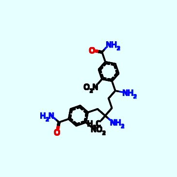 CC(N)(CCC(N)c1ccc(C(N)=O)cc1[N+](=O)[O-])Cc1ccc(C(N)=O)cc1[N+](=O)[O-]